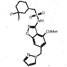 COc1cc(Cn2cccn2)cc2onc(NS(=O)(=O)CC3CCCC(F)(F)C3)c12